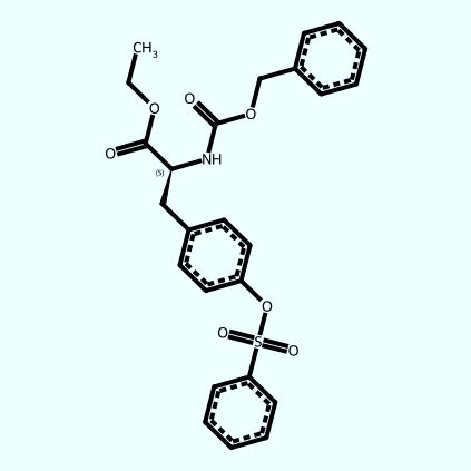 CCOC(=O)[C@H](Cc1ccc(OS(=O)(=O)c2ccccc2)cc1)NC(=O)OCc1ccccc1